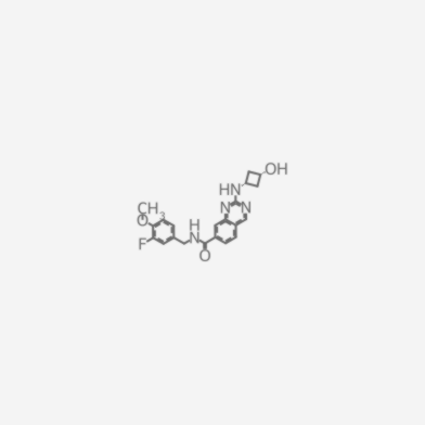 COc1ccc(CNC(=O)c2ccc3cnc(N[C@H]4C[C@@H](O)C4)nc3c2)cc1F